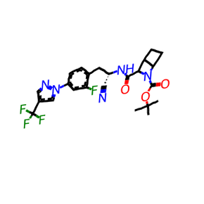 CC(C)(C)OC(=O)N1C2CCC2C1C(=O)N[C@H](C#N)Cc1ccc(-n2cc(C(F)(F)F)cn2)cc1F